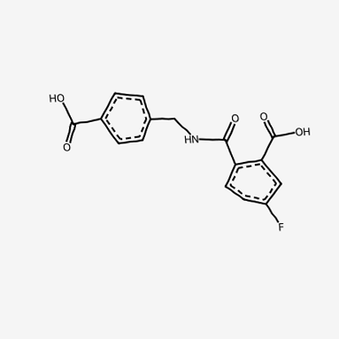 O=C(O)c1ccc(CNC(=O)c2ccc(F)cc2C(=O)O)cc1